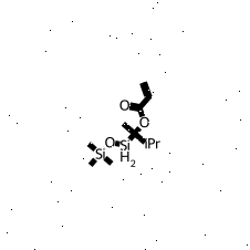 C=CC(=O)OC(C)([SiH2]O[Si](C)(C)C)C(C)C